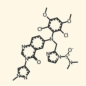 COc1cc(OC)c(Cl)c(N(Cc2nccn2[S+]([O-])N(C)C)c2ccc3ncn(-c4cnn(C)c4)c(=O)c3c2)c1Cl